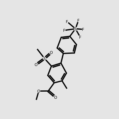 COC(=O)c1cc(S(C)(=O)=O)c(-c2ccc(S(F)(F)(F)(F)F)cc2)cc1C